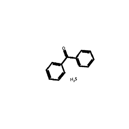 O=C(c1ccccc1)c1ccccc1.S